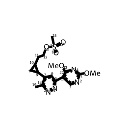 COc1ncc(-c2cc(C3CC3CCOS(C)(=O)=O)c(C)nn2)c(OC)n1